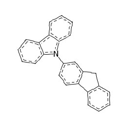 c1ccc2c(c1)Cc1cc(-n3c4ccccc4c4ccccc43)ccc1-2